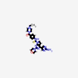 CCN1CCN(C(=O)c2ccc(NC(=S)N3CCc4c(-c5cnc(N)nc5)nc(N5CCOCC5)nc43)cc2)CC1